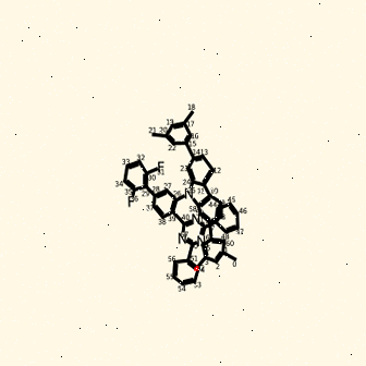 Cc1cc(C)cc(-c2ccc3c4ccc(-c5cc(C)cc(C)c5)cc4n(-c4cc(-c5c(F)cccc5F)ccc4-c4nc(-c5ccccc5)nc(-c5ccccc5)n4)c3c2)c1